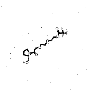 O=C(COCCOCCNC(=O)C(F)(F)F)N1CCC[C@H]1CO